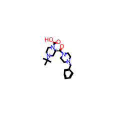 CC(C)(C)N1CCN(C(=O)O)[C@@H](C(=O)N2CCN(Cc3ccccc3)CC2)C1